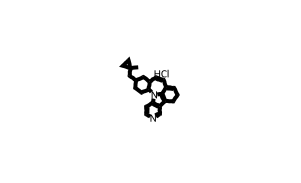 CC1(CC2CCC3C(C=CC4=CCCc5c4n3c3ccncc53)C2)CC1.Cl